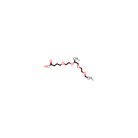 CCOCCOCC(C)OCCOCCCC(=O)O